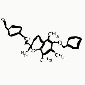 Cc1c(C)c2c(c(C)c1OCc1ccccc1)CCC(C)(COc1ccc(C=O)cc1)O2